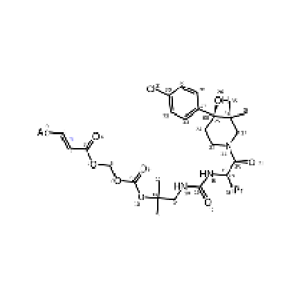 CC(=O)/C=C/C(=O)OCOC(=O)OC(C)(C)CNC(=O)N[C@@H](C(=O)N1CC[C@](O)(c2ccc(Cl)cc2)C(C)(C)C1)C(C)C